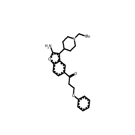 CC(C)(C)CN1CCC(c2c(N)oc3ccc(C(=O)CCOc4ccccc4)cc23)CC1